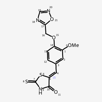 COc1cc(/C=C2\SC(=S)NC2=O)ccc1OCc1ncno1